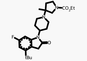 CCOC(=O)N1CCC(C)(N2CCC(N3C(=O)Cc4c3cc(F)cc4C(C)(C)C)CC2)C1